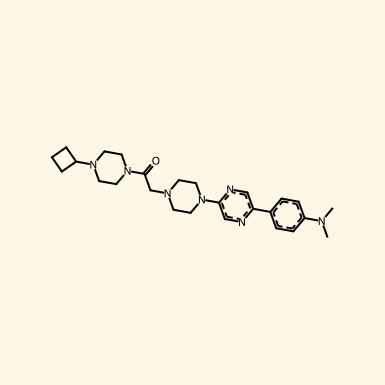 CN(C)c1ccc(-c2cnc(N3CCN(CC(=O)N4CCN(C5CCC5)CC4)CC3)cn2)cc1